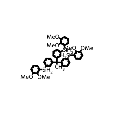 COc1cccc([SiH2]c2cccc(C(C)(c3cccc([SiH2]c4cccc(OC)c4OC)c3)c3cccc([SiH2]c4cccc(OC)c4OC)c3)c2)c1OC